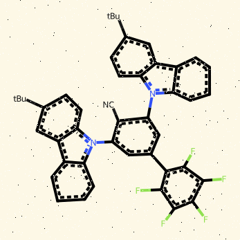 CC(C)(C)c1ccc2c(c1)c1ccccc1n2-c1cc(-c2c(F)c(F)c(F)c(F)c2F)cc(-n2c3ccccc3c3cc(C(C)(C)C)ccc32)c1C#N